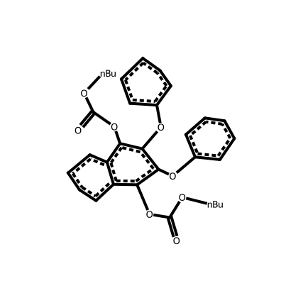 CCCCOC(=O)Oc1c(Oc2ccccc2)c(Oc2ccccc2)c(OC(=O)OCCCC)c2ccccc12